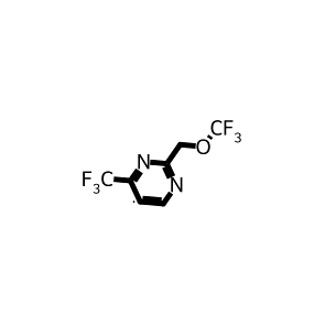 FC(F)(F)OCc1nc[c]c(C(F)(F)F)n1